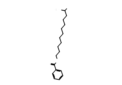 CC(C)CCCCCCCCCCOC(=O)c1ccccc1